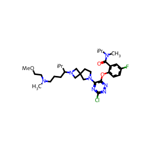 COCCN(C)CCCC(C(C)C)N1CC2(CCN(c3nc(Cl)nnc3Oc3ccc(F)cc3C(=O)N(C)C(C)C)C2)C1